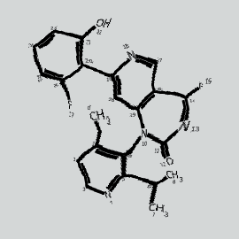 Cc1ccnc(C(C)C)c1-n1c(=O)nc(F)c2cnc(-c3c(O)cccc3F)cc21